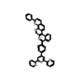 c1ccc(-c2ccc3ccc4c(ncc5nc(-c6ccc(-c7cc(-c8ccccn8)nc(-c8ccccn8)c7)cc6)c6ccccc6c54)c3n2)cc1